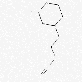 C[C@@H]1CCCC(CCSB=O)C1